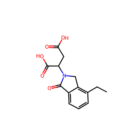 CCc1cccc2c1CN(C(CC(=O)O)C(=O)O)C2=O